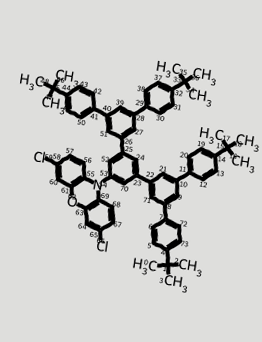 CC(C)(C)c1ccc(-c2cc(-c3ccc(C(C)(C)C)cc3)cc(-c3cc(-c4cc(-c5ccc(C(C)(C)C)cc5)cc(-c5ccc(C(C)(C)C)cc5)c4)cc(N4c5ccc(Cl)cc5Oc5cc(Cl)ccc54)c3)c2)cc1